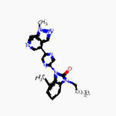 CCOC(=O)Cn1c(=O)n(-c2cnc(-c3cncc4c3cnn4C)cn2)c2c(C)cccc21